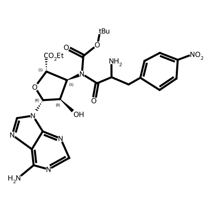 CCOC(=O)[C@H]1O[C@@H](n2cnc3c(N)ncnc32)[C@H](O)[C@@H]1N(C(=O)OC(C)(C)C)C(=O)C(N)Cc1ccc([N+](=O)[O-])cc1